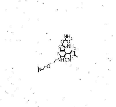 Cc1ccc(-c2c(C#N)c(NCCCOCCN(C)C)nc3sc(OC(N)=O)c(N)c23)o1